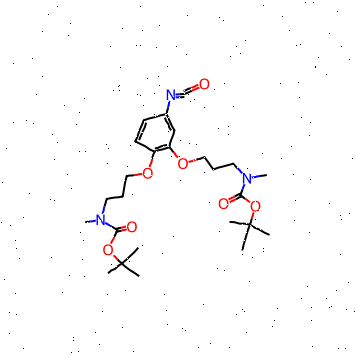 CN(CCCOc1ccc(N=C=O)cc1OCCCN(C)C(=O)OC(C)(C)C)C(=O)OC(C)(C)C